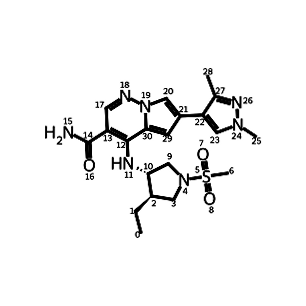 CC[C@@H]1CN(S(C)(=O)=O)C[C@H]1Nc1c(C(N)=O)cnn2cc(-c3cn(C)nc3C)cc12